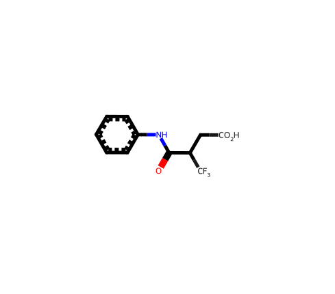 O=C(O)CC(C(=O)Nc1ccccc1)C(F)(F)F